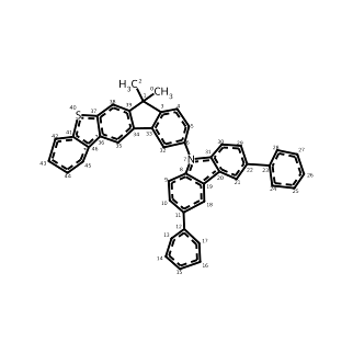 CC1(C)c2ccc(-n3c4ccc(-c5ccccc5)cc4c4cc(-c5ccccc5)ccc43)cc2-c2cc3c(cc21)sc1ccccc13